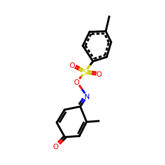 CC1=CC(=O)C=CC1=NOS(=O)(=O)c1ccc(C)cc1